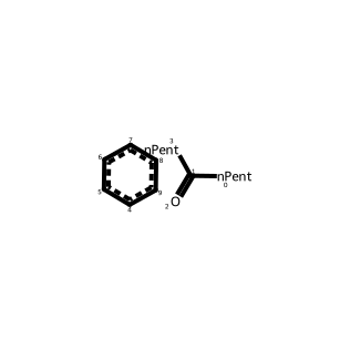 CCCCCC(=O)CCCCC.c1ccccc1